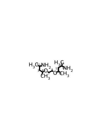 CC(N)CC(C)OCCOC(C)CC(C)N